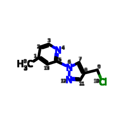 Cc1ccnc(-n2cc(CCl)cn2)c1